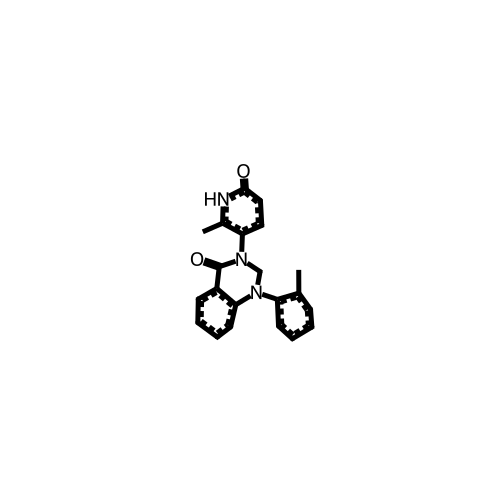 Cc1ccccc1N1CN(c2ccc(=O)[nH]c2C)C(=O)c2ccccc21